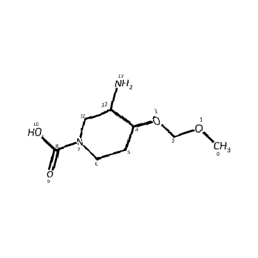 COCOC1CCN(C(=O)O)CC1N